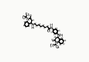 CCC(=O)N1c2ccccc2C(NCCCCCCCC(=O)Nc2ccc(N[C@@H]3C[C@H](C)N(C(=O)CC)c4ccccc43)cc2)CC1C